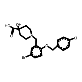 O=C(O)C1(O)CCN(Cc2cc(Br)ccc2OCc2ccc(Cl)cc2)CC1